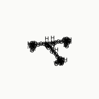 CC(=O)N[C@H]1[C@H](OCCOCCOCCOCC(=O)N[C@@H](CCCCNC(=O)COCCOCCOCCO[C@@H]2O[C@H](COC(C)=O)[C@H](OC(C)=O)[C@H](OC(C)=O)[C@H]2NC(C)=O)C(=O)N[C@@H](CCCCNC(=O)COCCOCCOCCO[C@@H]2O[C@H](COC(C)=O)[C@H](OC(C)=O)[C@H](OC(C)=O)[C@H]2NC(C)=O)C(=O)O)O[C@H](COC=O)[C@H](OC(C)=O)[C@@H]1OC(C)=O